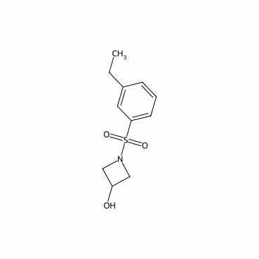 CCc1cccc(S(=O)(=O)N2CC(O)C2)c1